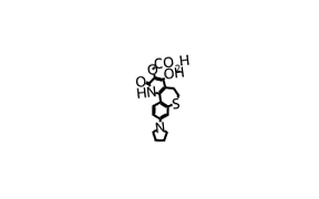 O=C(O)Oc1c(O)c2c([nH]c1=O)-c1ccc(N3CCCC3)cc1SCC2